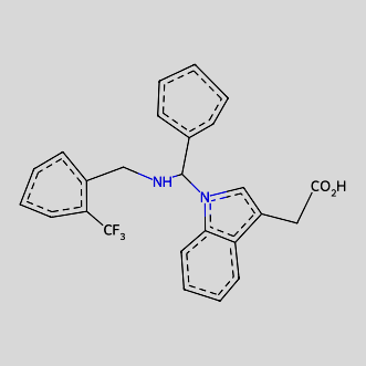 O=C(O)Cc1cn(C(NCc2ccccc2C(F)(F)F)c2ccccc2)c2ccccc12